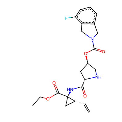 C=C[C@@H]1C[C@]1(NC(=O)[C@@H]1C[C@@H](OC(=O)N2Cc3cccc(F)c3C2)CN1)C(=O)OCC